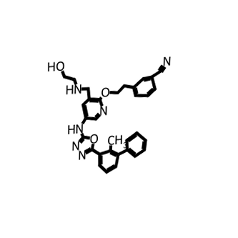 Cc1c(-c2ccccc2)cccc1-c1nnc(Nc2cnc(OCCc3cccc(C#N)c3)c(CNCCO)c2)o1